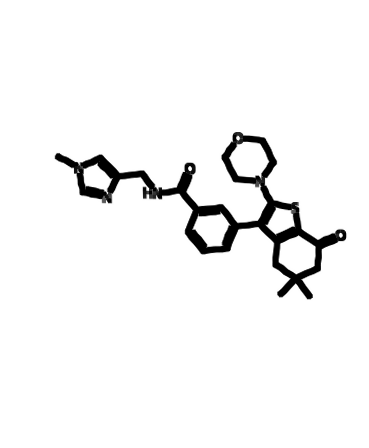 Cn1cnc(CNC(=O)c2cccc(-c3c(N4CCOCC4)sc4c3CC(C)(C)CC4=O)c2)c1